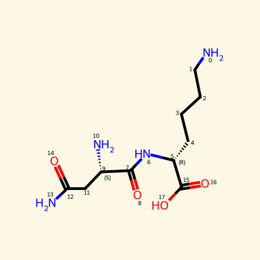 NCCCC[C@@H](NC(=O)[C@@H](N)CC(N)=O)C(=O)O